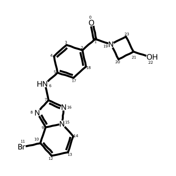 O=C(c1ccc(Nc2nc3c(Br)cccn3n2)cc1)N1CC(O)C1